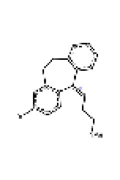 CNCC/C=C1/c2ccccc2CCc2cc(Br)ccc21